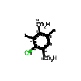 Cc1cc(C(=O)O)c(Cl)c(C)c1C(=O)O